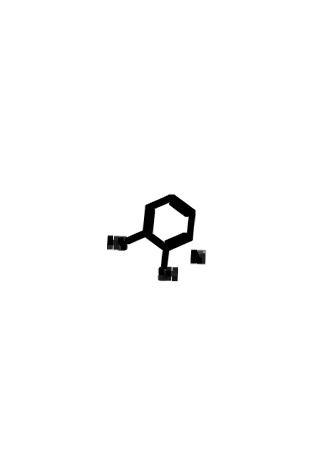 Sc1ccccc1S.[Ni]